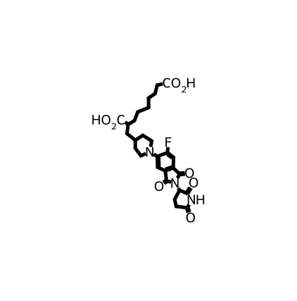 O=C(O)CCCCCCC(CC1CCN(c2cc3c(cc2F)C(=O)N(C2CCC(=O)NC2=O)C3=O)CC1)C(=O)O